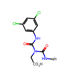 CC(C)NC(=O)N(CC(=O)O)C(=O)Nc1cc(Cl)cc(Cl)c1